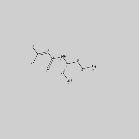 CC(C)=CC(=O)N[C@@H](CS)CCS